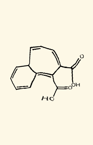 O=C(O)C1=CC=CC2C=CC=CC2=C1C(=O)O